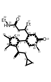 C=C(CC1CC1)c1c(-c2cn(C)c(=O)cc2C(CC)CC(=O)NCC)sc(C)c1C